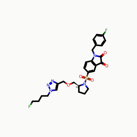 O=C1C(=O)N(Cc2ccc(F)cc2)c2ccc(S(=O)(=O)N3CCC[C@H]3COCc3cn(CCCCF)nn3)cc21